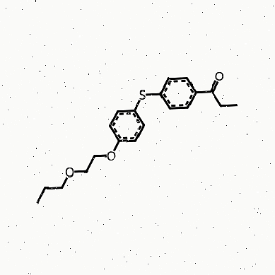 CCCOCCOc1ccc(Sc2ccc(C(=O)CC)cc2)cc1